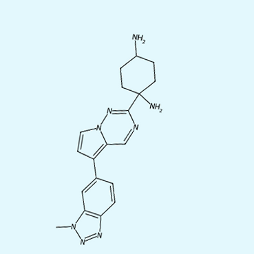 Cn1nnc2ccc(-c3ccn4nc(C5(N)CCC(N)CC5)ncc34)cc21